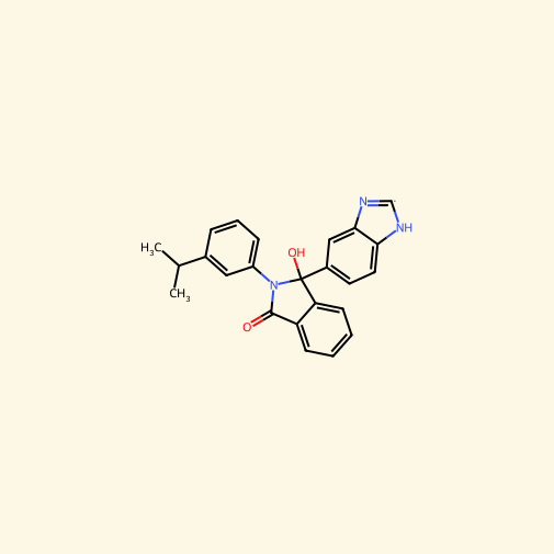 CC(C)c1cccc(N2C(=O)c3ccccc3C2(O)c2ccc3[nH][c]nc3c2)c1